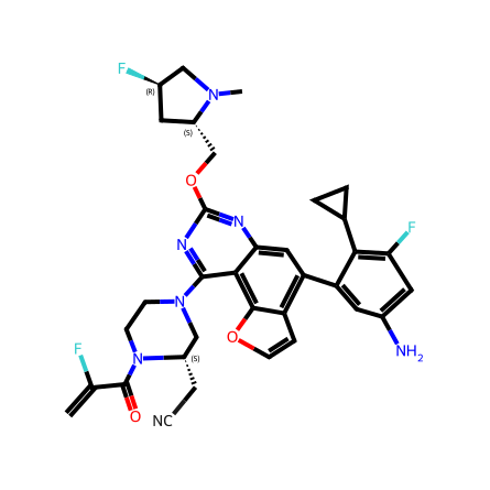 C=C(F)C(=O)N1CCN(c2nc(OC[C@@H]3C[C@@H](F)CN3C)nc3cc(-c4cc(N)cc(F)c4C4CC4)c4ccoc4c23)C[C@@H]1CC#N